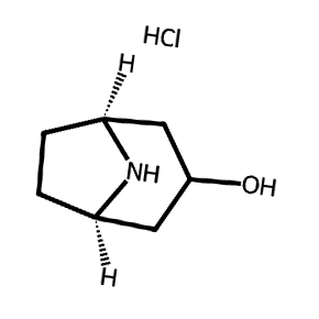 Cl.OC1C[C@H]2CC[C@@H](C1)N2